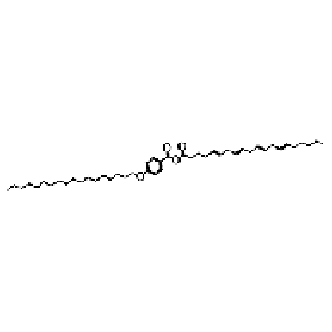 CCCCCC=CCC=CCC=CCC=CCCCC(=O)OC(=O)c1ccc(OCCCCCCCCCCCCCCCCCC)cc1